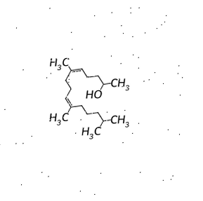 CC(=CCCC(C)O)CCC=C(C)CCCC(C)C